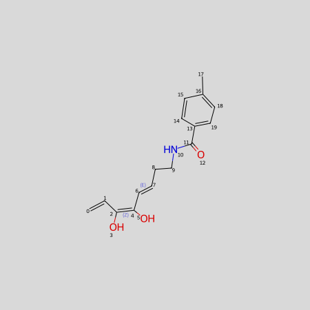 C=C/C(O)=C(O)\C=C\CCNC(=O)c1ccc(C)cc1